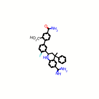 CC1(c2ccccc2)CC(c2cc(-c3ccc(C(N)=O)cc3C(=O)O)ccc2F)Nc2ccc(C(=N)N)cc21